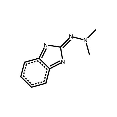 CN(C)N=C1N=c2ccccc2=N1